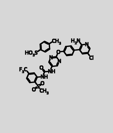 CS(=O)(=O)c1ccc(C(F)(F)F)cc1NC(=O)Nc1cnc(Oc2ccc(-c3cc(Cl)cnc3N)cc2)nc1.Cc1ccc(S(=O)(=O)O)cc1